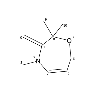 C=C1N(C)C=CCOC1(C)C